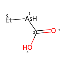 CC[AsH]C(=O)O